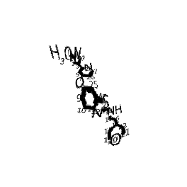 Cn1cc(-c2cc(Oc3ccc4nc(NCCC5CCOCC5)sc4c3)ccn2)cn1